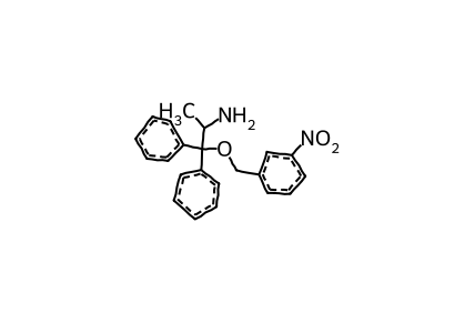 CC(N)C(OCc1cccc([N+](=O)[O-])c1)(c1ccccc1)c1ccccc1